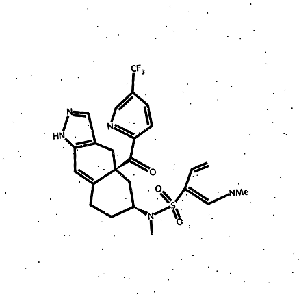 C=C/C(=C\NC)S(=O)(=O)N(C)[C@H]1CCC2=Cc3[nH]ncc3C[C@]2(C(=O)c2ccc(C(F)(F)F)cn2)C1